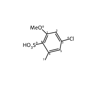 COc1cc(Cl)cc(C)c1S(=O)(=O)O